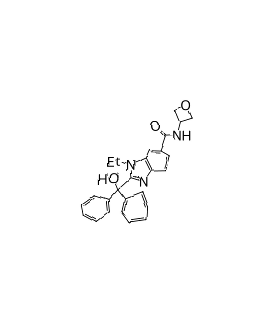 CCn1c(C(O)(c2ccccc2)c2ccccc2)nc2ccc(C(=O)NC3COC3)cc21